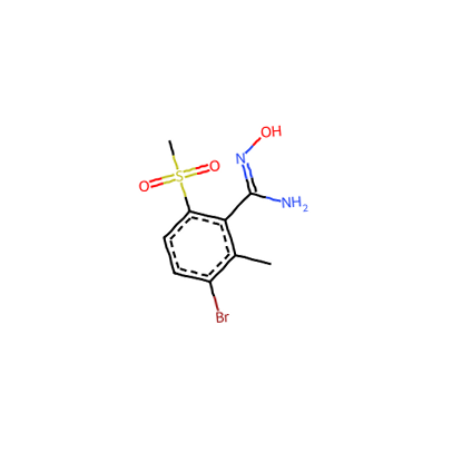 Cc1c(Br)ccc(S(C)(=O)=O)c1C(N)=NO